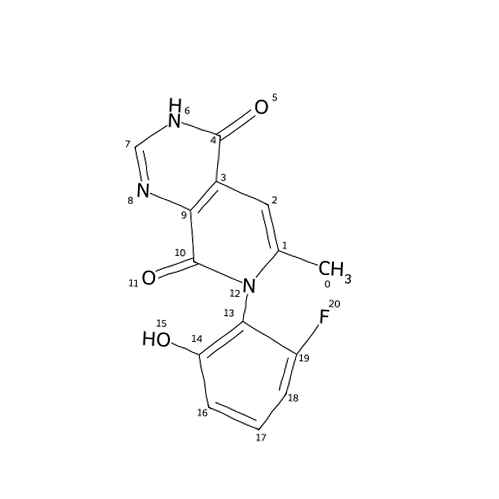 Cc1cc2c(=O)[nH]cnc2c(=O)n1-c1c(O)cccc1F